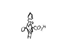 O=C(O)C1=CNC(=O)N2CC(Cc3ccccc3)N=C12